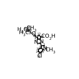 Cn1cc(-c2cnc3c(n2)c(C(=O)O)cn3COCC[Si](C)(C)C)c2ccc(Cl)cc21